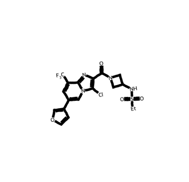 CCS(=O)(=O)NC1CN(C(=O)c2nc3c(C(F)(F)F)cc(-c4ccoc4)cn3c2Cl)C1